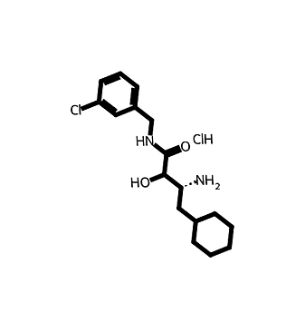 Cl.N[C@H](CC1CCCCC1)C(O)C(=O)NCc1cccc(Cl)c1